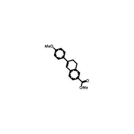 COC(=O)c1ccc2c(c1)CCC(c1ccc(OC)cc1)=C2